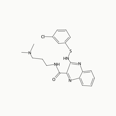 CN(C)CCCNC(=O)c1nc2ccccc2nc1NSc1cccc(Cl)c1